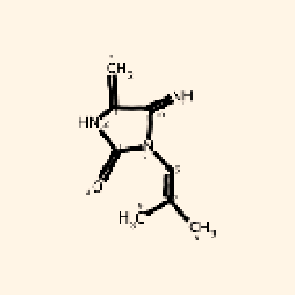 C=C1NC(=O)N(C=C(C)C)C1=N